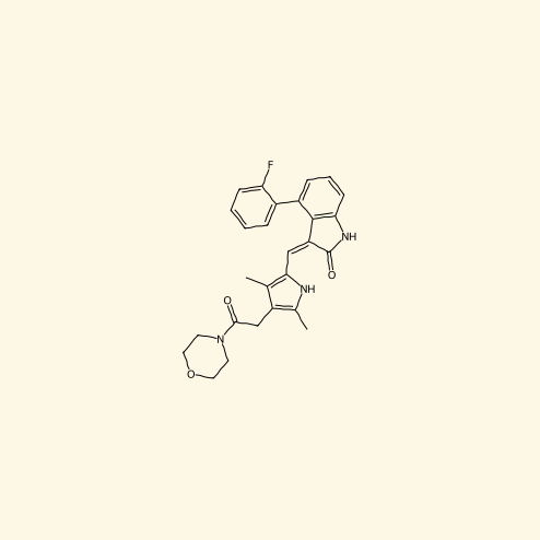 Cc1[nH]c(/C=C2\C(=O)Nc3cccc(-c4ccccc4F)c32)c(C)c1CC(=O)N1CCOCC1